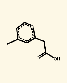 Cc1ccnc(CC(=O)O)c1